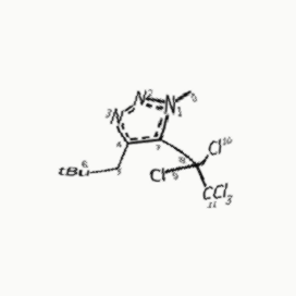 Cn1nnc(CC(C)(C)C)c1C(Cl)(Cl)C(Cl)(Cl)Cl